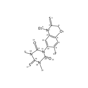 CCN1C(=S)COc2cc(F)c(-n3c(=O)n(C)c(=S)n(C)c3=O)cc21